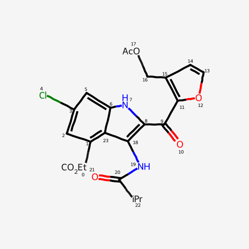 CCOC(=O)c1cc(Cl)cc2[nH]c(C(=O)c3occc3COC(C)=O)c(NC(=O)C(C)C)c12